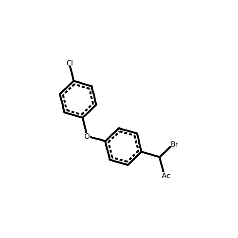 CC(=O)C(Br)c1ccc(Oc2ccc(Cl)cc2)cc1